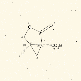 O=C(O)[C@]12C[C@H]1COC2=O